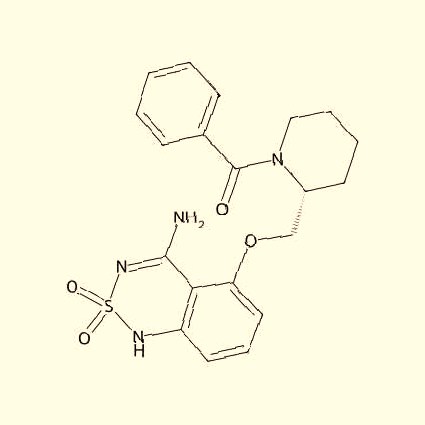 NC1=NS(=O)(=O)Nc2cccc(OC[C@H]3CCCCN3C(=O)c3ccccc3)c21